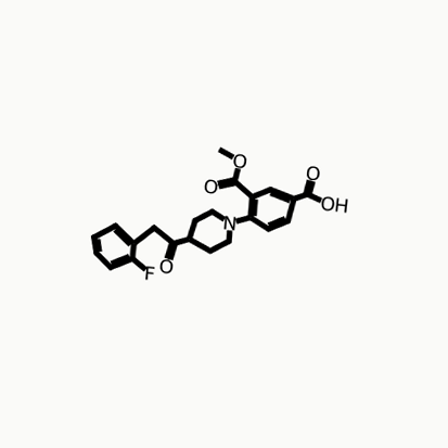 COC(=O)c1cc(C(=O)O)ccc1N1CCC(C(=O)Cc2ccccc2F)CC1